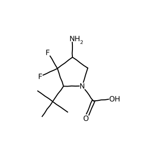 CC(C)(C)C1N(C(=O)O)CC(N)C1(F)F